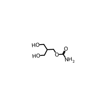 NC(=O)OCC(CO)CO